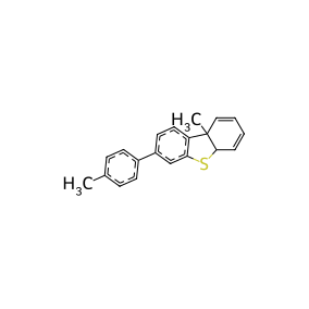 Cc1ccc(-c2ccc3c(c2)SC2C=CC=CC32C)cc1